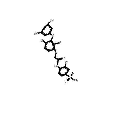 N#Cc1cc(C#N)cc(Oc2c(Cl)ccc(OCC(=O)Nc3ccc(S(N)(=O)=O)cc3Cl)c2F)c1